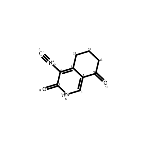 [C-]#[N+]c1c2c(c[nH]c1=O)C(=O)CCC2